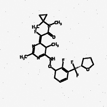 CC1=N/C(=C(\F)C(=O)N(C)C2(C)CC2)C(C)C(NOC2CC=CC(C(F)(F)[C@@H]3CCCO3)=C2F)=N1